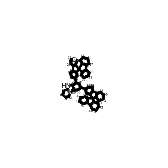 C1=CC2Nc3c(-c4ccc5c(c4)C4(c6ccccc6-c6ccccc64)c4ccccc4-5)cc(-c4ccc5c(c4)C4(c6ccccc6-c6ccccc64)c4ccccc4-5)cc3N2C=C1